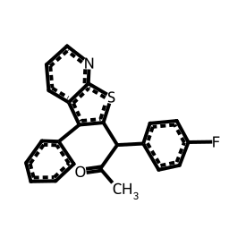 CC(=O)C(c1ccc(F)cc1)c1sc2ncccc2c1-c1ccccc1